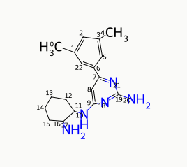 Cc1cc(C)cc(-c2cc(NC3CCCCC3N)nc(N)n2)c1